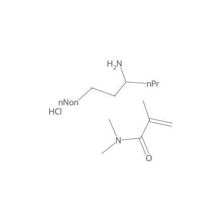 C=C(C)C(=O)N(C)C.CCCCCCCCCCCC(N)CCC.Cl